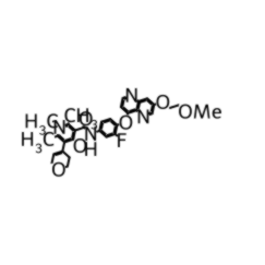 COCCOc1cnc2c(Oc3ccc(NC(=O)c4c(C)n(C)c(C)c(C5=CCOCC5)c4=O)cc3F)ccnc2c1